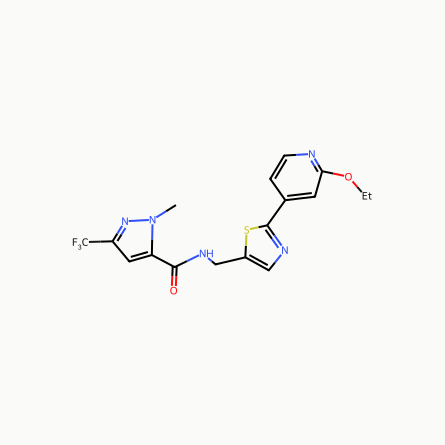 CCOc1cc(-c2ncc(CNC(=O)c3cc(C(F)(F)F)nn3C)s2)ccn1